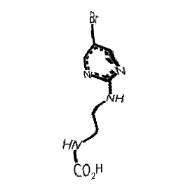 O=C(O)NCCNc1ncc(Br)cn1